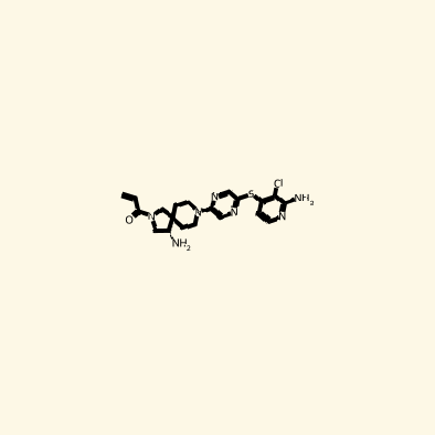 C=CC(=O)N1C[C@@H](N)C2(CCN(c3cnc(Sc4ccnc(N)c4Cl)cn3)CC2)C1